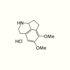 COc1cc2c3c(c1OC)CCC3NCC2.Cl